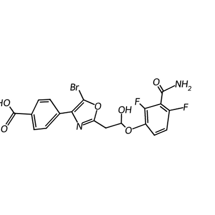 NC(=O)c1c(F)ccc(OC(O)Cc2nc(-c3ccc(C(=O)O)cc3)c(Br)o2)c1F